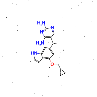 CC(c1cc(OCC2CC2)c2cc[nH]c2c1)c1cnc(N)nc1N